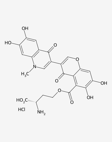 Cl.Cn1cc(-c2coc3cc(O)c(O)c(C(=O)OCC[C@H](N)C(=O)O)c3c2=O)c(=O)c2cc(O)c(O)cc21